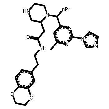 CCCC(c1cc(C)nc(-n2ccnc2)n1)N1CCNCC1CC(=O)NCCc1ccc2c(c1)OCCO2